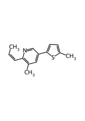 C/C=C\c1ncc(-c2ccc(C)s2)cc1C